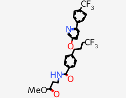 COC(=O)CCNC(=O)c1ccc(C(CCC(F)(F)F)Oc2ccc(-c3ccc(C(F)(F)F)cc3)nc2)cc1